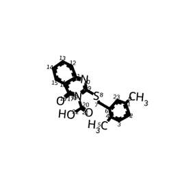 Cc1ccc(C)c(CSc2nc3ccccc3c(=O)n2C(=O)O)c1